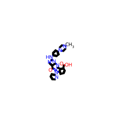 CN1CCN(c2ccc(Nc3ncc4c(=O)n5c(nc4n3)c3c(C(=O)O)cccc3n5-c3ccccn3)cc2)CC1